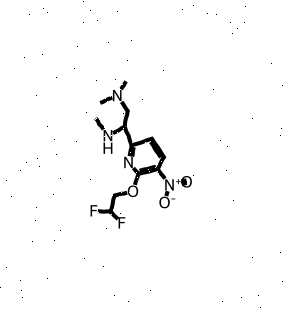 CNC(CN(C)C)c1ccc([N+](=O)[O-])c(OCC(F)F)n1